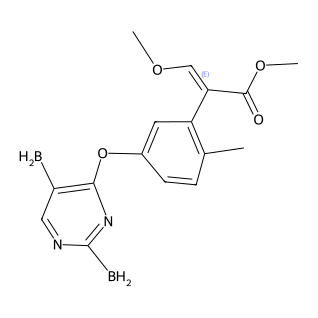 Bc1ncc(B)c(Oc2ccc(C)c(/C(=C\OC)C(=O)OC)c2)n1